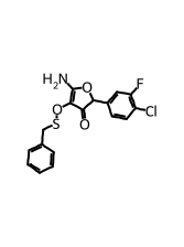 NC1=C(OSCc2ccccc2)C(=O)C(c2ccc(Cl)c(F)c2)O1